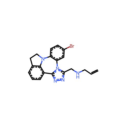 C=CCNCc1nnc2n1-c1cc(Br)ccc1N1CCc3cccc-2c31